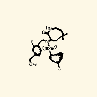 CC1(C)CCNC(=O)C(N(Cc2ccc(CO)cc2F)S(=O)(=O)c2ccc(Cl)cc2)C1